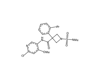 CNS(=O)(=O)N1CC(C(=O)Nc2cnc(Cl)cc2OC)(c2ccccc2C(C)C)C1